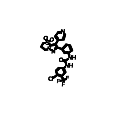 O=C(Nc1cccc(-c2nn3c(c2-c2ccncc2)S(=O)(=O)CCC3)c1)Nc1ccc(Cl)c(C(F)(F)F)c1